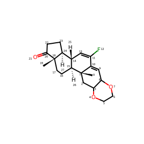 C[C@]12CC3OCCOC3C=C1C(F)=C[C@@H]1[C@@H]2CC[C@]2(C)C(=O)CC[C@@H]12